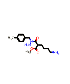 Cc1ccc(CN(N)C(=O)C(CCCCN)C(=O)OC(C)(C)C)cc1